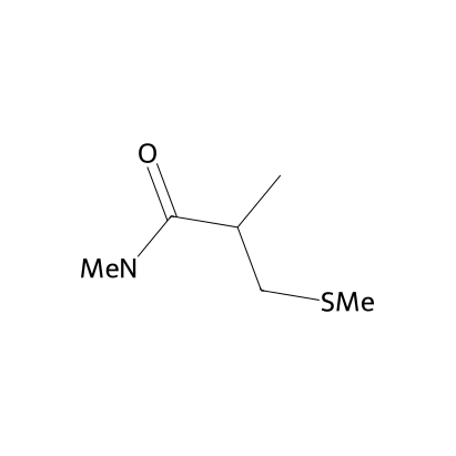 CNC(=O)C(C)CSC